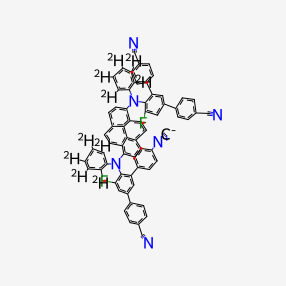 [2H]c1c([2H])c([2H])c(N(c2c(F)cc(-c3ccc(C#N)cc3)cc2-c2ccc(C#N)cc2)c2ccc3ccc4c(N(c5c(F)cc(-c6ccc(C#N)cc6)cc5-c5ccc([N+]#[C-])cc5)c5c([2H])c([2H])c([2H])c([2H])c5[2H])ccc5ccc2c3c54)c([2H])c1[2H]